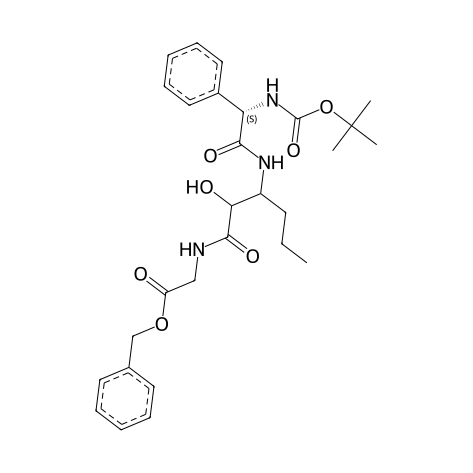 CCCC(NC(=O)[C@@H](NC(=O)OC(C)(C)C)c1ccccc1)C(O)C(=O)NCC(=O)OCc1ccccc1